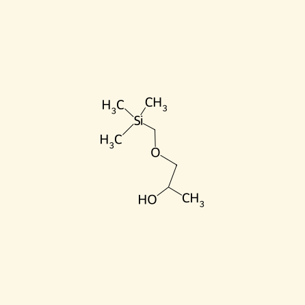 CC(O)COC[Si](C)(C)C